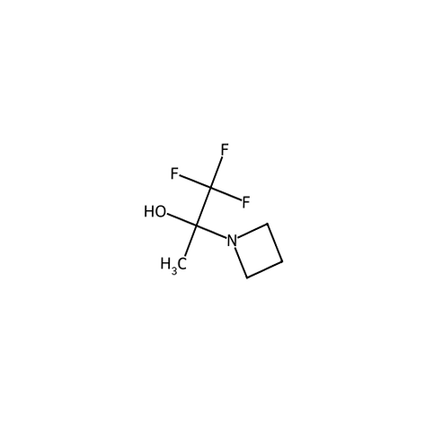 CC(O)(N1CCC1)C(F)(F)F